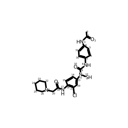 CC(=O)Nc1ccc(NC(=O)N(S)c2ccc(NC(=O)CN3CCCCC3)c(Cl)c2)cc1